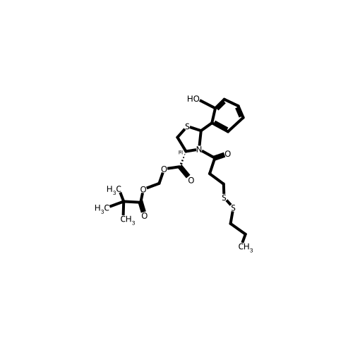 CCCSSCCC(=O)N1C(c2ccccc2O)SC[C@H]1C(=O)OCOC(=O)C(C)(C)C